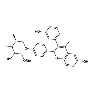 COCC(C(C)C)N(C)[C@@H](C)COc1ccc(C2Oc3ccc(O)cc3C(C)=C2c2cccc(O)c2)cc1